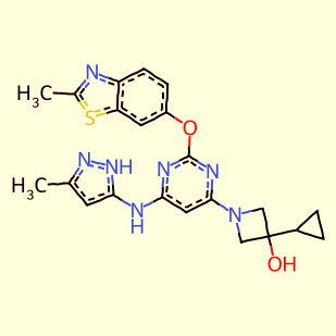 Cc1cc(Nc2cc(N3CC(O)(C4CC4)C3)nc(Oc3ccc4nc(C)sc4c3)n2)[nH]n1